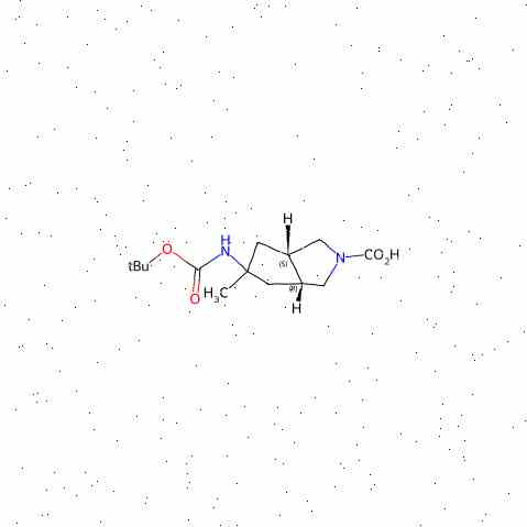 CC1(NC(=O)OC(C)(C)C)C[C@H]2CN(C(=O)O)C[C@H]2C1